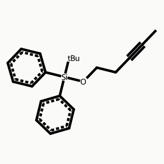 CC#CCCO[Si](c1ccccc1)(c1ccccc1)C(C)(C)C